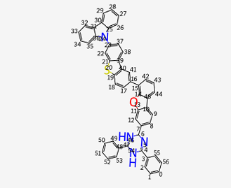 c1ccc(C2=NC(c3ccc4c(c3)oc3c(-c5ccc6sc7cc(-n8c9ccccc9c9ccccc98)ccc7c6c5)cccc34)NC(c3ccccc3)N2)cc1